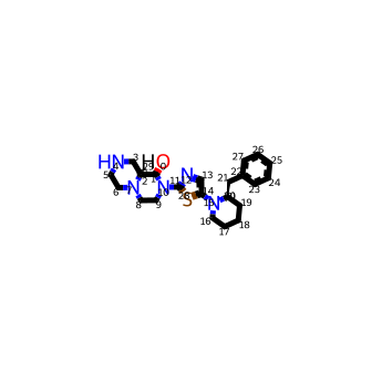 O=C1[C@@H]2CNCCN2CCN1c1ncc(N2CCCC[C@@H]2Cc2ccccc2)s1